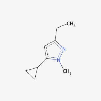 CCc1cc(C2CC2)n(C)n1